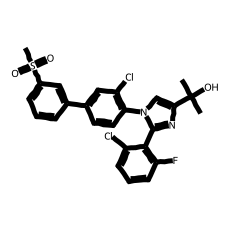 CC(C)(O)c1cn(-c2ccc(-c3cccc(S(C)(=O)=O)c3)cc2Cl)c(-c2c(F)cccc2Cl)n1